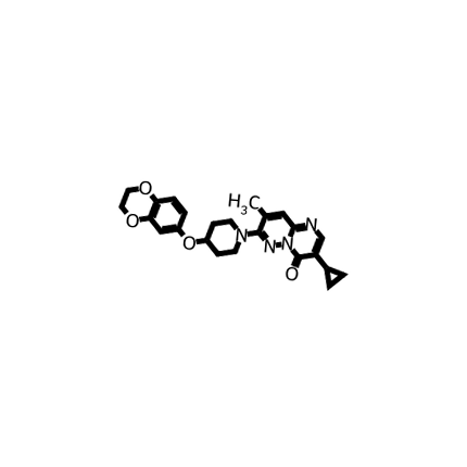 Cc1cc2ncc(C3CC3)c(=O)n2nc1N1CCC(Oc2ccc3c(c2)OCCO3)CC1